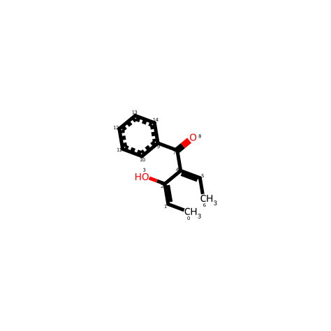 C/C=C(O)\C(=C/C)C(=O)c1ccccc1